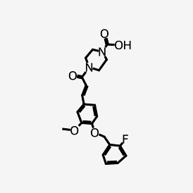 COc1cc(/C=C/C(=O)N2CCN(C(=O)O)CC2)ccc1OCc1ccccc1F